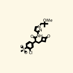 COC(C)(C)Cn1ccc(NC(=O)C(CC2CC(=O)C2)c2ccc(S(C)(=O)=O)c(Cl)c2)n1